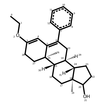 CCOC1=CC2=C(c3ccccc3)C[C@@H]3[C@H](CC[C@]4(C)C(O)CC[C@@H]34)[C@@]2(C)CC1